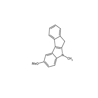 COc1ccc2c(c1)c1c(n2C)Cc2ccccc2-1